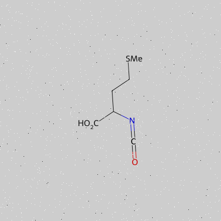 CSCCC(N=C=O)C(=O)O